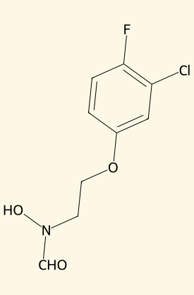 O=CN(O)CCOc1ccc(F)c(Cl)c1